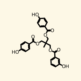 CC(COC(=O)c1ccc(O)cc1)(COC(=O)c1ccc(O)cc1)COC(=O)c1cccc(O)c1